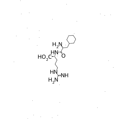 N=C(N)NCCC[C@H](NC(=O)[C@@H](N)CC1CCCCC1)C(=O)O